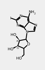 Nc1nc(I)nc2c1ncn2C1OC(CO)[C@@H](O)[C@H]1O